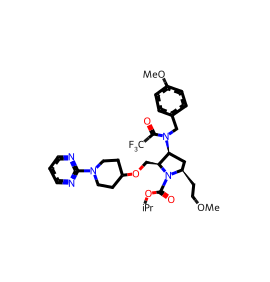 COCC[C@@H]1C[C@H](N(Cc2ccc(OC)cc2)C(=O)C(F)(F)F)[C@H](COC2CCN(c3ncccn3)CC2)N1C(=O)OC(C)C